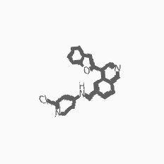 Clc1cc(NCc2ccc3cncc(-c4cc5ccccc5o4)c3c2)ccn1